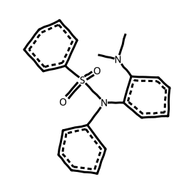 CN(C)c1ccccc1N(c1ccccc1)S(=O)(=O)c1ccccc1